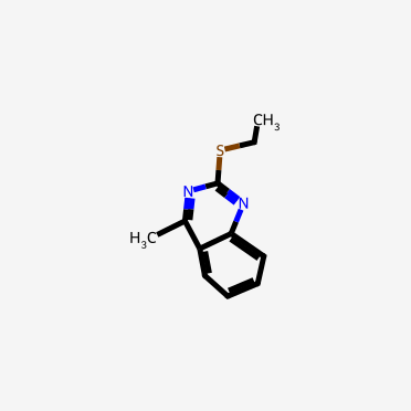 CCSc1nc(C)c2ccccc2n1